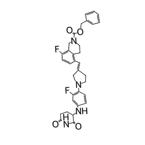 O=C1CCC(Nc2ccc(N3CCC(=Cc4ccc(F)c5c4CCN(C(=O)OCc4ccccc4)C5)CC3)c(F)c2)C(=O)N1